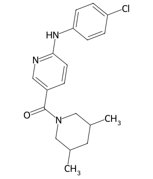 CC1CC(C)CN(C(=O)c2ccc(Nc3ccc(Cl)cc3)nc2)C1